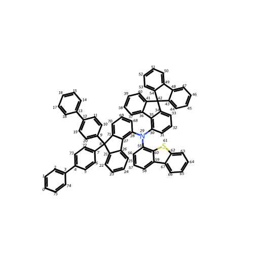 c1ccc(-c2ccc(C3(c4ccc(-c5ccccc5)cc4)c4ccccc4-c4c(N(c5cccc6c5-c5ccccc5C65c6ccccc6-c6ccccc65)c5cccc6c5sc5ccccc56)cccc43)cc2)cc1